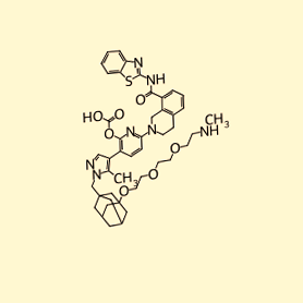 CNCCOCCOCCOC12CC3CC(CC(Cn4ncc(-c5ccc(N6CCc7cccc(C(=O)Nc8nc9ccccc9s8)c7C6)nc5OC(=O)O)c4C)(C3)C1)C2